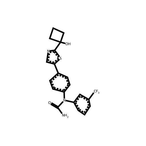 NC(=O)N(c1ccc(-c2cnc(C3(O)CCC3)s2)cc1)c1cccc(C(F)(F)F)c1